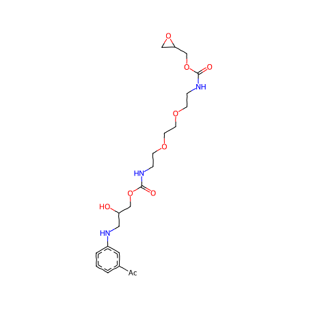 CC(=O)c1cccc(NCC(O)COC(=O)NCCOCCOCCNC(=O)OCC2CO2)c1